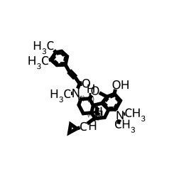 Cc1ccc(C#CC(=O)N(C)[C@H]2CC[C@H]3[C@H]4Cc5c(N(C)C)cc(O)c6c5[C@@]3(CCN4CC3CC3)[C@H]2O6)cc1C